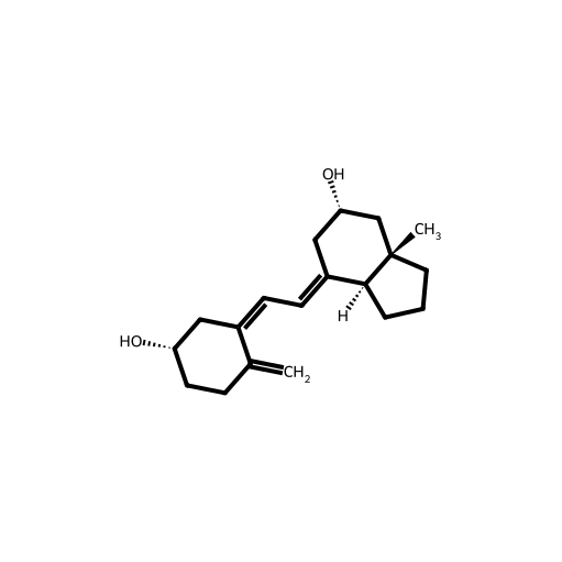 C=C1CC[C@H](O)C/C1=C/C=C1\C[C@H](O)C[C@]2(C)CCC[C@@H]12